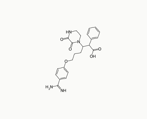 N=C(N)c1ccc(OCCCC(C(C(=O)O)c2ccccc2)N2CCNC(=O)C2=O)cc1